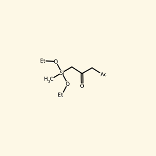 CCO[Si](C)(CC(=O)CC(C)=O)OCC